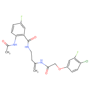 C=C(CCNC(=O)c1cc(F)ccc1NC(C)=O)NC(=O)COc1ccc(Cl)c(F)c1